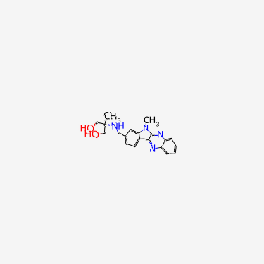 Cn1c2cc(CNC(C)(CO)CO)ccc2c2nc3ccccc3nc21